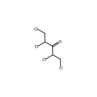 O=C(C(Cl)CCl)C(Cl)CCl